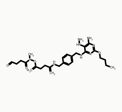 C=C(CCC(=C)ON(C)C(=O)CCC=O)NCc1ccc(CNc2nc(OCCCC)nc(N)c2NN)cc1